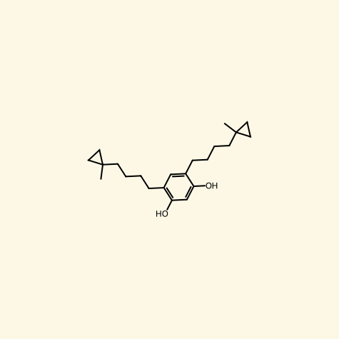 CC1(CCCCc2cc(CCCCC3(C)CC3)c(O)cc2O)CC1